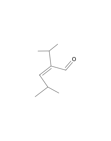 CC(C)C=C(C=O)C(C)C